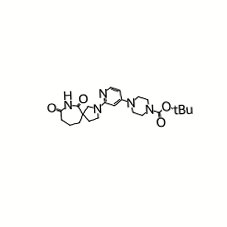 CC(C)(C)OC(=O)N1CCN(c2ccnc(N3CCC4(CCCC(=O)NC4=O)C3)c2)CC1